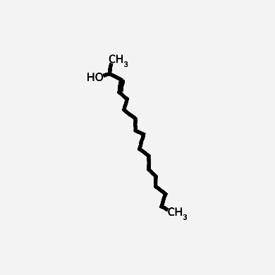 CCCCCCCCCCCCC/C=C/C(C)O